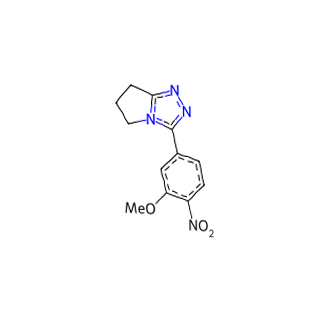 COc1cc(-c2nnc3n2CCC3)ccc1[N+](=O)[O-]